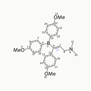 COc1ccc(B(/C(=C/CN(C)C)c2ccc(OC)cc2)c2ccc(OC)cc2)cc1